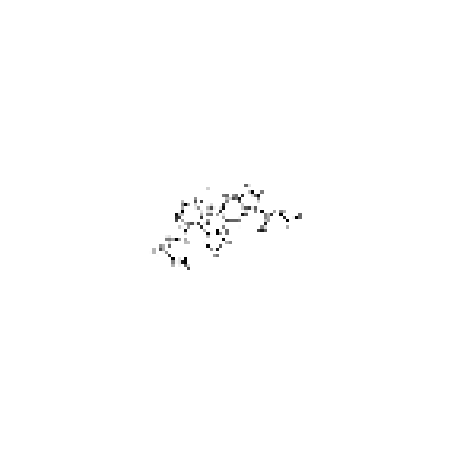 CCOC(=O)C1=C2C=C(N3CCCC3c3cc(F)cnc3CC[C@@H](C)N)C(F)=CC2C=C1